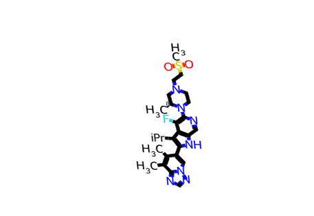 Cc1c(-c2[nH]c3cnc(N4CCN(CCS(C)(=O)=O)C[C@H]4C)c(F)c3c2C(C)C)cn2ncnc2c1C